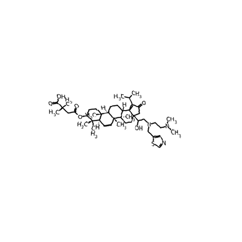 CC(C)C1=C2[C@H]3CC[C@@H]4[C@@]5(C)CC[C@H](OC(=O)CC(C)(C)C(=O)O)C(C)(C)[C@@H]5CC[C@@]4(C)[C@]3(C)CCC2(C(O)CN(CCN(C)C)Cc2cncs2)CC1=O